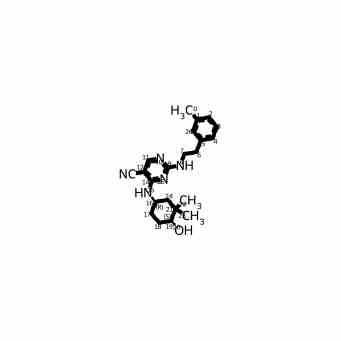 Cc1cccc(CCNc2ncc(C#N)c(N[C@@H]3CC[C@H](O)C(C)(C)C3)n2)c1